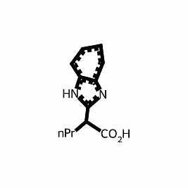 CCCC(C(=O)O)c1nc2ccccc2[nH]1